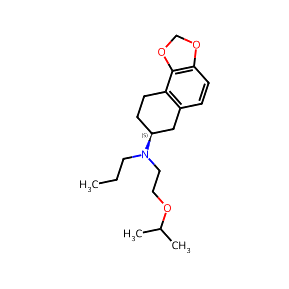 CCCN(CCOC(C)C)[C@H]1CCc2c(ccc3c2OCO3)C1